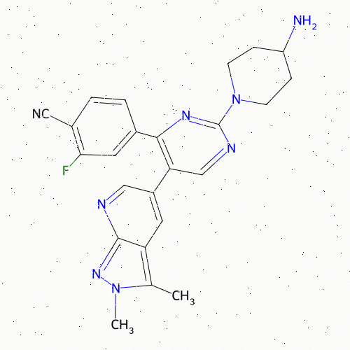 Cc1c2cc(-c3cnc(N4CCC(N)CC4)nc3-c3ccc(C#N)c(F)c3)cnc2nn1C